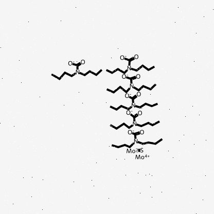 CCCCN(CCCC)C(=O)[O-].CCCCN(CCCC)C(=O)[O-].CCCCN(CCCC)C(=O)[O-].CCCCN(CCCC)C(=O)[O-].CCCCN(CCCC)C(=O)[O-].CCCCN(CCCC)C(=O)[O-].[Mo+4].[S]=[Mo+2]